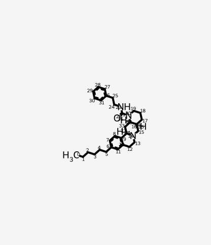 CCCCCCc1ccc2c(c1)CCN1C[C@@H]3CCCN(C(=O)NCCc4ccccc4)[C@@H]3C[C@H]21